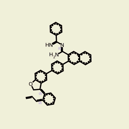 C=C/C=c1/cccc/c1=C1/COc2ccc(-c3ccc(-c4cc5ccccc5cc4/C(N)=N/C(=N)c4ccccc4)cc3)cc21